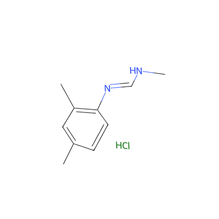 CNC=Nc1ccc(C)cc1C.Cl